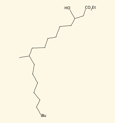 CCOC(=O)CC(O)CCCCCCC(C)CCCCCCC(C)CC